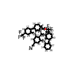 Cc1nc(C)nc(-c2c(-n3c4ccccc4c4ccc(C(F)(F)F)cc43)cc(C#N)cc2-n2c3ccccc3c3ccc(C(F)(F)F)cc32)n1